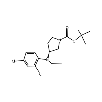 CCN(c1ccc(Cl)cc1Cl)[C@H]1CCN(C(=O)OC(C)(C)C)C1